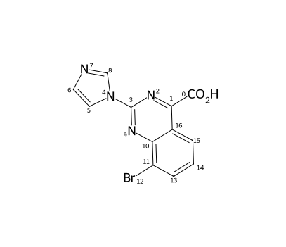 O=C(O)c1nc(-n2ccnc2)nc2c(Br)cccc12